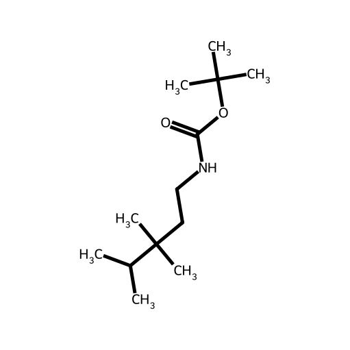 CC(C)C(C)(C)CCNC(=O)OC(C)(C)C